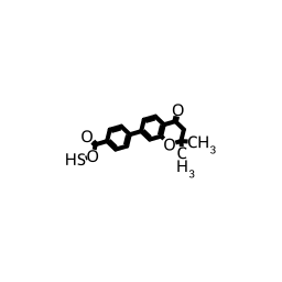 CC1(C)CC(=O)c2ccc(-c3ccc(C(=O)OS)cc3)cc2O1